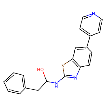 OC(Cc1ccccc1)Nc1nc2ccc(-c3ccncc3)cc2s1